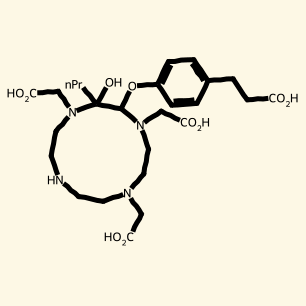 CCCC1(O)C(Oc2ccc(CCC(=O)O)cc2)N(CC(=O)O)CCN(CC(=O)O)CCNCCN1CC(=O)O